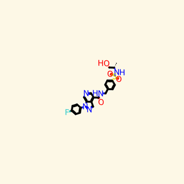 C[C@@H](CO)NS(=O)(=O)c1ccc(CNC(=O)c2cncc3c2cnn3-c2ccc(F)cc2)cc1